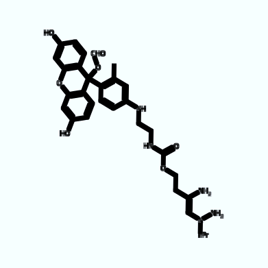 CCCN(N)/C=C(\N)CCOC(=O)NCCNc1ccc(C2(OC=O)c3ccc(O)cc3Oc3cc(O)ccc32)c(C)c1